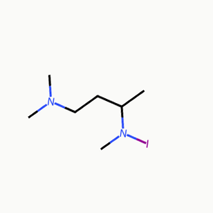 CC(CCN(C)C)N(C)I